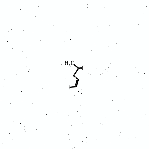 CC(F)C/C=C\I